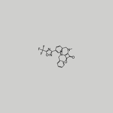 CN(Cc1ccc(-c2noc(C(F)(F)F)n2)cc1)c1c(NCc2ccccc2)c(=O)c1=O